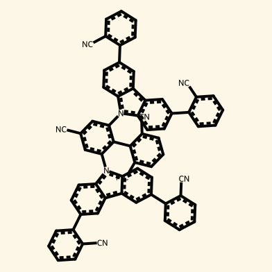 N#Cc1cc(-n2c3ccc(-c4ccccc4C#N)cc3c3cc(-c4ccccc4C#N)ccc32)c(-c2c(C#N)cccc2C(F)(F)F)c(-n2c3ccc(-c4ccccc4C#N)cc3c3cc(-c4ccccc4C#N)ccc32)c1